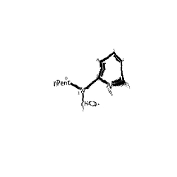 CCCCCN([C]=O)c1ccccn1